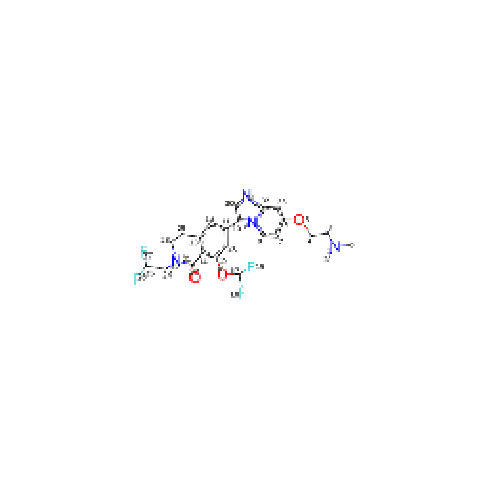 CN(C)CCOc1ccn2c(-c3cc4c(c(OC(F)F)c3)C(=O)N(CC(F)F)CC4)cnc2c1